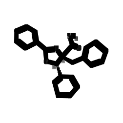 NC(=O)[C@@]1(Cc2ccccc2)N=C(c2ccccc2)O[C@H]1c1ccccc1